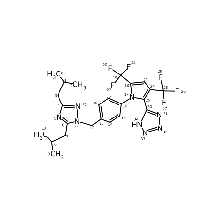 CC(C)Cc1nc(CC(C)C)n(Cc2ccc(-n3c(C(F)(F)F)cc(C(F)(F)F)c3-c3nnn[nH]3)cc2)n1